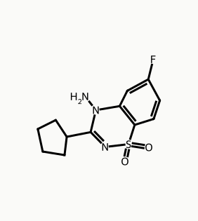 NN1C(C2CCCC2)=NS(=O)(=O)c2ccc(F)cc21